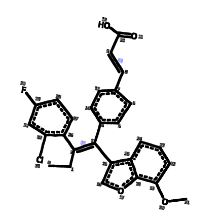 CC/C(=C(/c1ccc(/C=C/C(=O)O)cc1)c1coc2c(OC)cccc12)c1ccc(F)cc1Cl